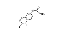 CC(C)(C)OC(=O)Nc1ccc(C(F)C(F)F)c(Cl)n1